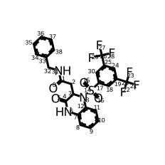 O=C(CC1C(=O)Nc2ccccc2N1S(=O)(=O)c1cc(C(F)(F)F)cc(C(F)(F)F)c1)NCc1ccccc1